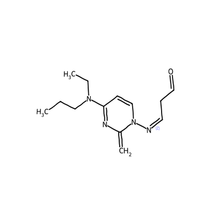 C=C1N=C(N(CC)CCC)C=CN1/N=C\CC=O